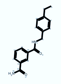 CCc1ccc(CNC(=O)c2cccc(C(N)=O)c2)cc1